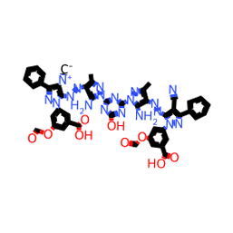 [C-]#[N+]c1c(-c2ccccc2)nn(-c2cc(OC=O)cc(C(=O)O)c2)c1N=Nc1c(C)nn(-c2nc(O)nc(-n3nc(C)c(N=Nc4c(C#N)c(-c5ccccc5)nn4-c4cc(OC=O)cc(C(=O)O)c4)c3N)n2)c1N